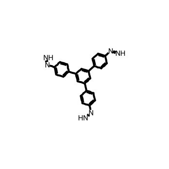 N=Nc1ccc(-c2cc(-c3ccc(N=N)cc3)cc(-c3ccc(N=N)cc3)c2)cc1